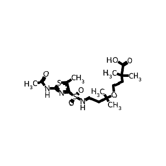 CC(=O)Nc1nc(S(=O)(=O)NCCC(C)(C)OCCC(C)(C)C(=O)O)c(C)s1